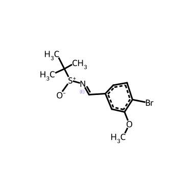 COc1cc(/C=N/[S+]([O-])C(C)(C)C)ccc1Br